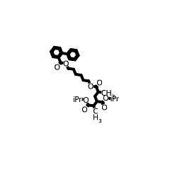 CC(C)OC(=O)C(C)C(CC(C)C(=O)OCCCCCCOC(=O)c1ccccc1-c1ccccc1)C(=O)OC(C)C